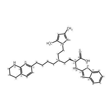 Cc1cc(C)n(CCN(CCCCc2ccc3c(n2)NCCC3)CC[C@H](Nc2nc3ccccc3s2)C(=O)O)n1